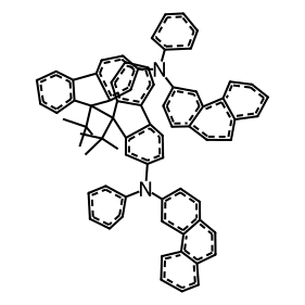 CC(C)(C)C1(C2(C(C)(C)C)c3ccccc3-c3ccc(N(c4ccccc4)c4ccc5ccc6ccccc6c5c4)cc32)c2ccccc2-c2ccc(N(c3ccccc3)c3ccc4ccc5ccccc5c4c3)cc21